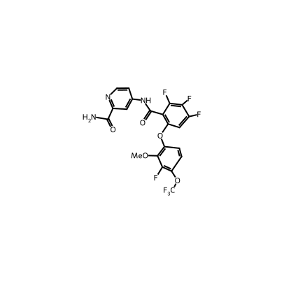 COc1c(Oc2cc(F)c(F)c(F)c2C(=O)Nc2ccnc(C(N)=O)c2)ccc(OC(F)(F)F)c1F